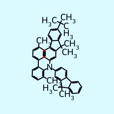 Cc1ccc(-c2cccc(C)c2N(c2ccc3c(c2)C(C)(C)c2ccccc2-3)c2ccc3c(c2)C(C)(C)c2cc(C(C)(C)C)ccc2-3)cc1